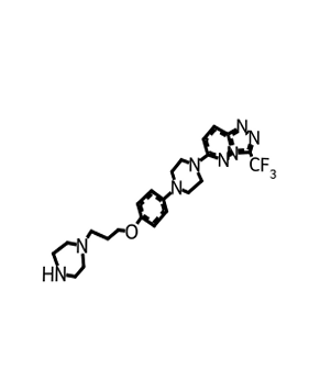 FC(F)(F)c1nnc2ccc(N3CCN(c4ccc(OCCCN5CCNCC5)cc4)CC3)nn12